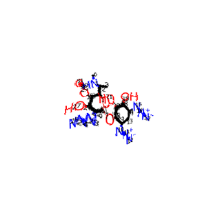 CNC(C)C1O[C@H](O[C@@H]2C(N=[N+]=[N-])C[C@@H](N=[N+]=[N-])C(O)C2O)C(N=[N+]=[N-])C(O)[C@@H]1OC=O